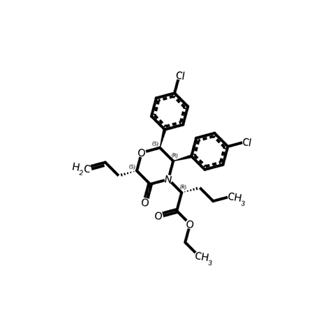 C=CC[C@@H]1O[C@@H](c2ccc(Cl)cc2)[C@@H](c2ccc(Cl)cc2)N([C@H](CCC)C(=O)OCC)C1=O